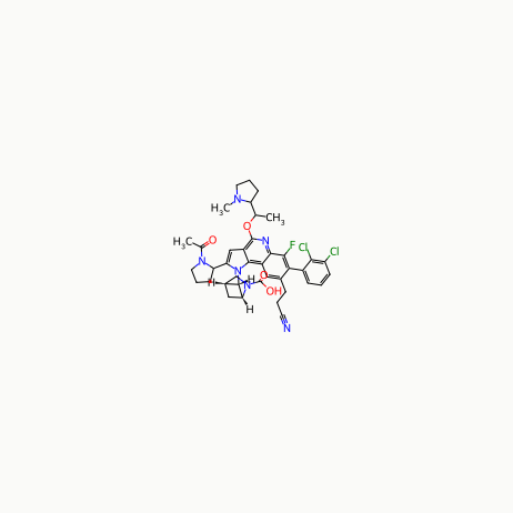 CC(=O)N1CCCC1c1cc2c(OC(C)C3CCCN3C)nc3c(F)c(-c4cccc(Cl)c4Cl)c(CCC#N)cc3c2n1[C@H]1[C@@H]2C[C@H]1N(C(=O)O)C2